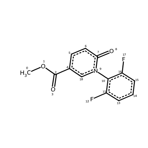 COC(=O)c1ccc(=O)n(-c2c(F)cccc2F)c1